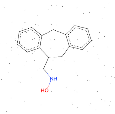 ONCC1Cc2ccccc2Cc2ccccc21